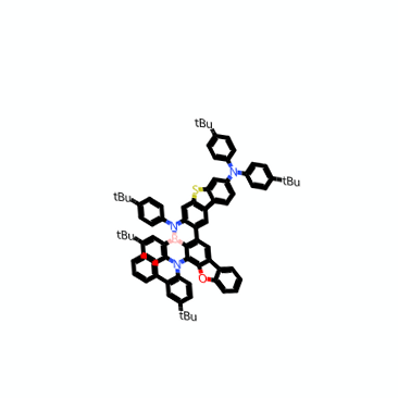 CC(C)(C)c1ccc(N2B3c4cc(C(C)(C)C)ccc4N(c4ccc(C(C)(C)C)cc4-c4ccccc4)c4c3c(cc3c4oc4ccccc43)-c3cc4c(cc32)sc2cc(N(c3ccc(C(C)(C)C)cc3)c3ccc(C(C)(C)C)cc3)ccc24)cc1